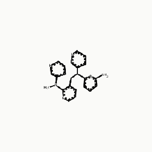 CN(c1cccnc1)c1ncccc1CC(c1cccnc1)c1cccc(N)n1